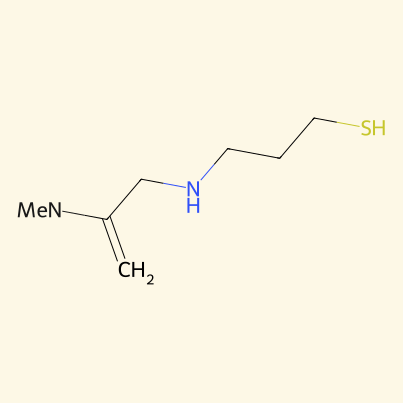 C=C(CNCCCS)NC